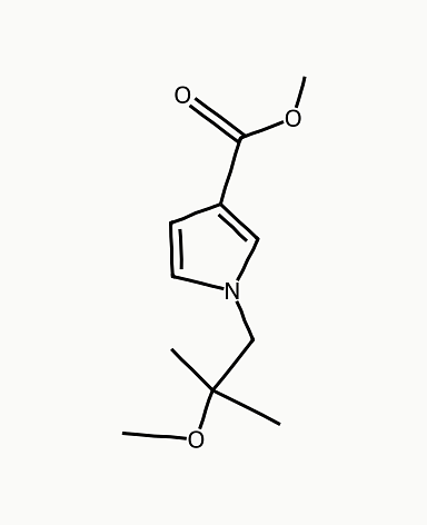 COC(=O)c1ccn(CC(C)(C)OC)c1